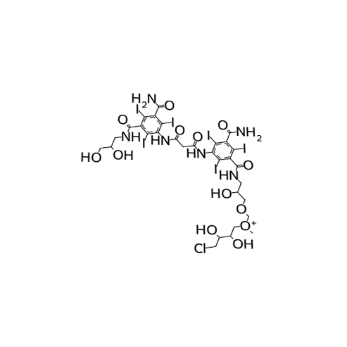 C[O+](COCC(O)CNC(=O)c1c(I)c(NC(=O)CC(=O)Nc2c(I)c(C(N)=O)c(I)c(C(=O)NCC(O)CO)c2I)c(I)c(C(N)=O)c1I)CC(O)C(O)CCl